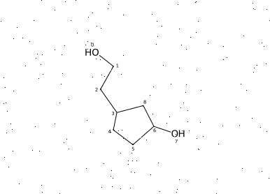 OCCC1CCC(O)C1